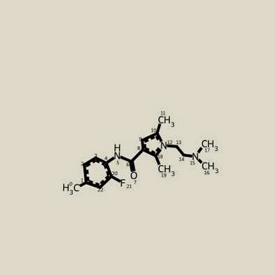 Cc1ccc(NC(=O)c2cc(C)n(CCN(C)C)c2C)c(F)c1